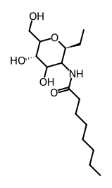 CCCCCCCC(=O)NC1C(O)[C@H](O)C(CO)O[C@H]1CC